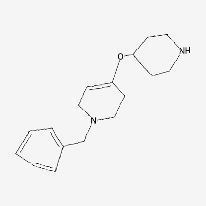 C1=C(OC2CCNCC2)CCN(Cc2ccccc2)C1